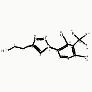 CCCc1cn(-c2ccc(Cl)c(C(F)(F)F)c2Cl)nn1